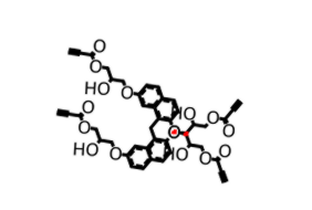 C#CC(=O)OCC(O)COc1ccc2ccc(OCC(O)COC(=O)C#C)c(Cc3c(OCC(O)COC(=O)C#C)ccc4ccc(OCC(O)COC(=O)C#C)cc34)c2c1